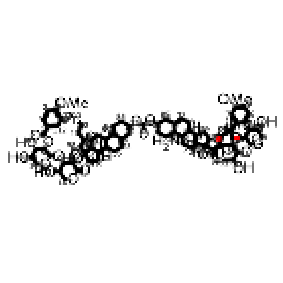 COc1ccc(C(=O)OC2C(OC3C(O)COC(O[C@H]4C[C@H]5[C@@H]6CC=C7C[C@@H](OC(=O)O[C@@H]8CC[C@@]9(N)C(=CC[C@@H]%10C9CC[C@@]9(N)[C@H]%10C[C@H](OC%10OCC(O)C(OC%11OCC(O)C(O)C%11OC(=O)c%11ccc(OC)cc%11)C%10OC(C)=O)[C@]9(O)[C@H](C)C(=O)CCC(C)C)C8)CC[C@]7(C)C6CC[C@]5(C)[C@@]4(O)[C@H](C)C(=O)CCC(C)C)C3OC(C)=O)OCC(O)C2O)cc1